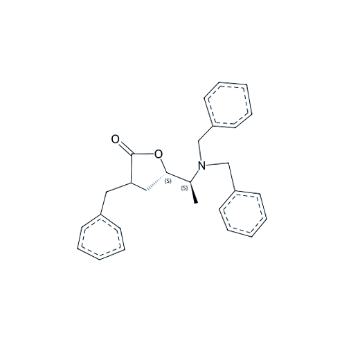 C[C@@H]([C@@H]1CC(Cc2ccccc2)C(=O)O1)N(Cc1ccccc1)Cc1ccccc1